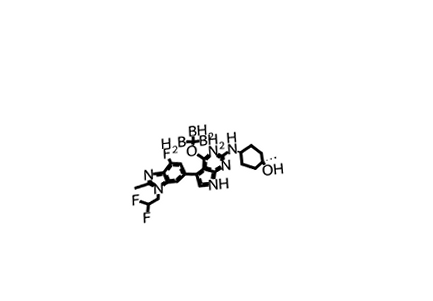 BC(B)(B)Oc1nc(N[C@H]2CC[C@](C)(O)CC2)nc2[nH]cc(-c3cc(F)c4nc(C)n(CC(F)F)c4c3)c12